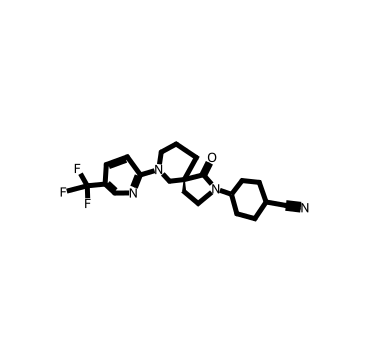 N#CC1CCC(N2CC[C@@]3(CCCN(c4ccc(C(F)(F)F)cn4)C3)C2=O)CC1